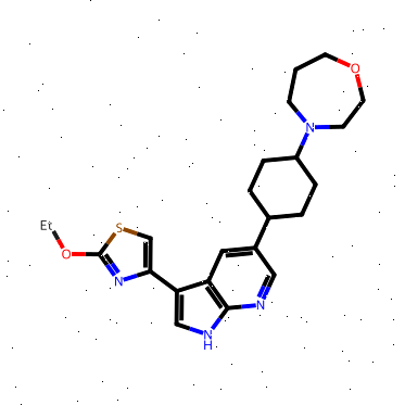 CCOc1nc(-c2c[nH]c3ncc(C4CCC(N5CCCOCC5)CC4)cc23)cs1